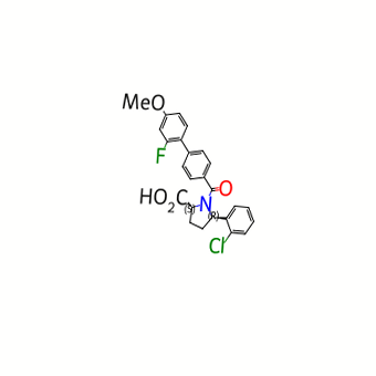 COc1ccc(-c2ccc(C(=O)N3[C@@H](c4ccccc4Cl)CC[C@H]3C(=O)O)cc2)c(F)c1